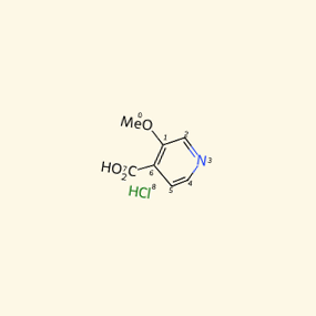 COc1cnccc1C(=O)O.Cl